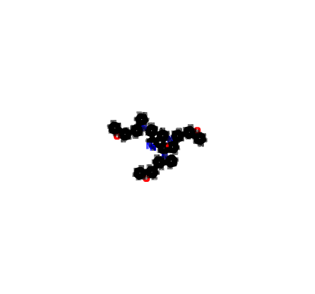 c1cc(-c2cnnc(-c3cccc(-n4c5ccccc5c5cc(-c6ccc7oc8ccccc8c7c6)ccc54)c3)c2-c2cccc(-n3c4ccccc4c4cc(-c5ccc6oc7ccccc7c6c5)ccc43)c2)cc(-n2c3ccccc3c3cc(-c4ccc5oc6ccccc6c5c4)ccc32)c1